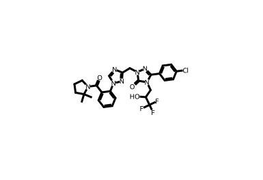 CC1(C)CCCN1C(=O)c1ccccc1-n1cnc(Cn2nc(-c3ccc(Cl)cc3)n(CC(O)C(F)(F)F)c2=O)n1